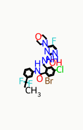 CCC(F)(F)c1cccc(NC(=O)c2c(Br)cc(Cl)c(O)c2/C=N\Nc2ncc(F)c(N3CCOCC3)n2)c1